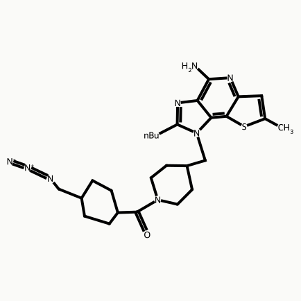 CCCCc1nc2c(N)nc3cc(C)sc3c2n1CC1CCN(C(=O)C2CCC(CN=[N+]=[N-])CC2)CC1